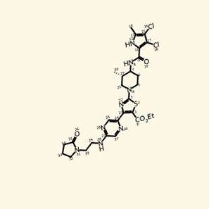 CCOC(=O)c1sc(N2CCC(NC(=O)c3[nH]c(C)c(Cl)c3Cl)[C@@H](C)C2)nc1-c1cnc(NCCN2CCCC2=O)cn1